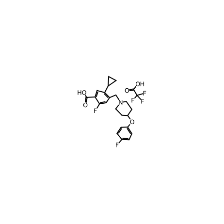 O=C(O)C(F)(F)F.O=C(O)c1cc(C2CC2)c(CN2CCC(Oc3ccc(F)cc3)CC2)cc1F